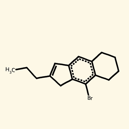 CCCC1=Cc2cc3c(c(Br)c2C1)CCCC3